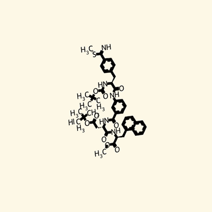 COC(=O)[C@H](Cc1cccc2ccccc12)NC(=O)[C@H](CC(=O)OC(C)(C)C)NC(=O)c1cccc(NC(=O)[C@H](Cc2ccc(C(=N)SC)cc2)NC(=O)OC(C)(C)C)c1.I